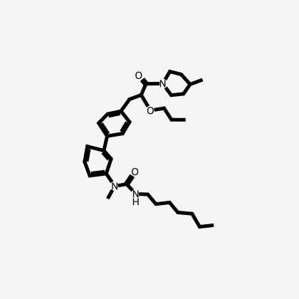 CCCCCCCNC(=O)N(C)c1cccc(-c2ccc(CC(OCCC)C(=O)N3CCC(C)CC3)cc2)c1